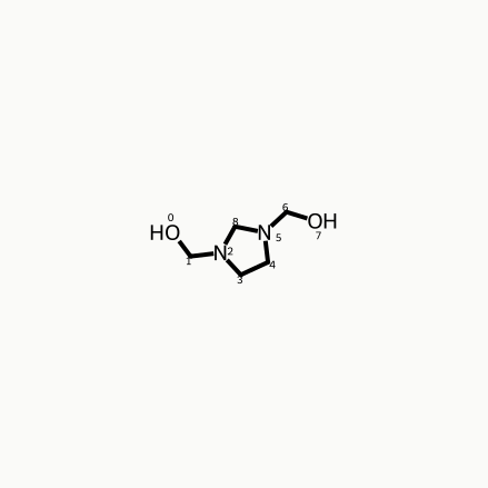 OCN1CCN(CO)C1